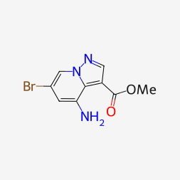 COC(=O)c1cnn2cc(Br)cc(N)c12